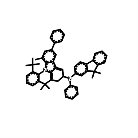 Cc1cc(-c2ccccc2)cc2c3c4n(c12)-c1c(C(C)(C)C)cccc1C(C)(C)C=4CC(N(c1ccccc1)c1ccc2c(c1)C(C)(C)c1ccccc1-2)C=3